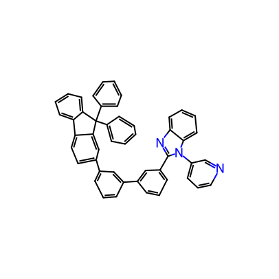 c1ccc(C2(c3ccccc3)c3ccccc3-c3ccc(-c4cccc(-c5cccc(-c6nc7ccccc7n6-c6cccnc6)c5)c4)cc32)cc1